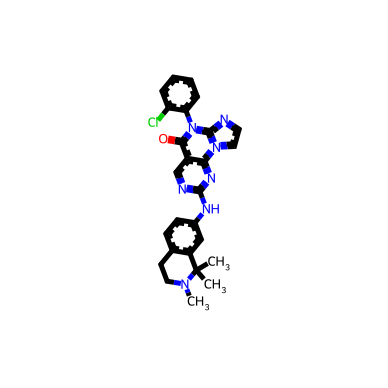 CN1CCc2ccc(Nc3ncc4c(=O)n(-c5ccccc5Cl)c5nccn5c4n3)cc2C1(C)C